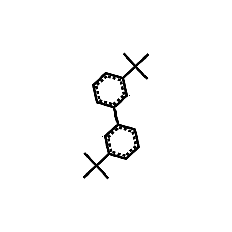 CC(C)(C)c1[c]c(-c2[c]c(C(C)(C)C)ccc2)ccc1